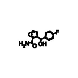 NC(=O)c1occc1C(O)c1ccc(F)cc1